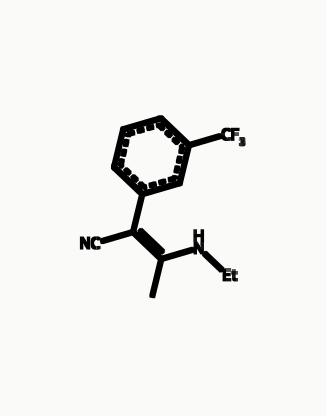 CCNC(C)=C(C#N)c1cccc(C(F)(F)F)c1